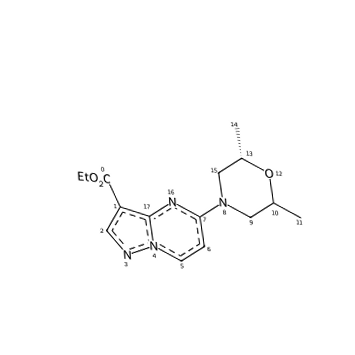 CCOC(=O)c1cnn2ccc(N3CC(C)O[C@@H](C)C3)nc12